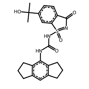 CC(C)(O)c1ccc2c(c1)S(=O)(NC(=O)Nc1c3c(cc4c1CCC4)CCC3)=NC2=O